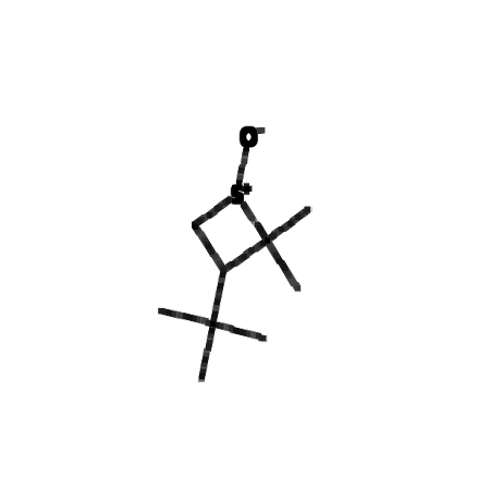 CC(C)(C)C1C[S+]([O-])C1(C)C